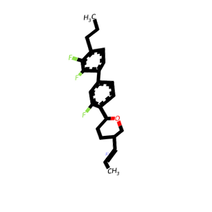 C/C=C/C1CCC(c2ccc(-c3ccc(CCC)c(F)c3F)cc2F)OC1